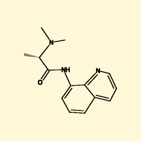 C[C@@H](C(=O)Nc1cccc2cccnc12)N(C)C